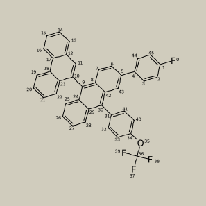 Fc1ccc(-c2ccc3c(-c4cc5ccccc5c5ccccc45)c4ccccc4c(-c4ccc(OC(F)(F)F)cc4)c3c2)cc1